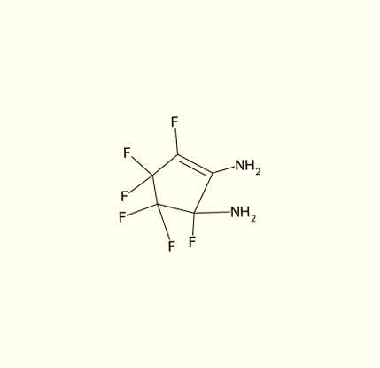 NC1=C(F)C(F)(F)C(F)(F)C1(N)F